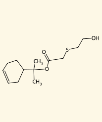 CC(C)(OC(=O)CSCCO)C1CC=CCC1